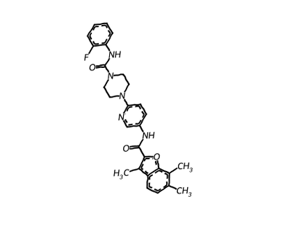 Cc1ccc2c(C)c(C(=O)Nc3ccc(N4CCN(C(=O)Nc5ccccc5F)CC4)nc3)oc2c1C